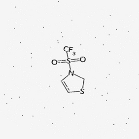 O=S(=O)(N1C=CSC1)C(F)(F)F